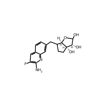 Nc1nc2cc(CC3CC[C@@]4(O)[C@@H]3OC(O)[C@@H]4O)ccc2cc1F